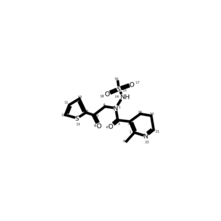 CC1=C(C(=O)N(CC(=O)c2cccs2)NS(C)(=O)=O)CCC=N1